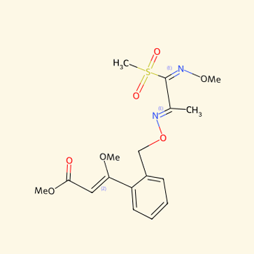 CO/N=C(\C(C)=N\OCc1ccccc1/C(=C/C(=O)OC)OC)S(C)(=O)=O